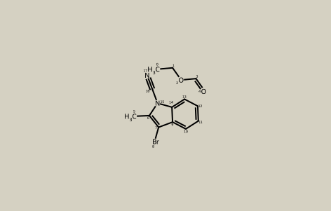 CCOC=O.Cc1c(Br)c2ccccc2n1C#N